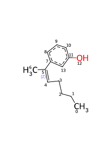 CCCC/C=C(/C)c1cccc(O)c1